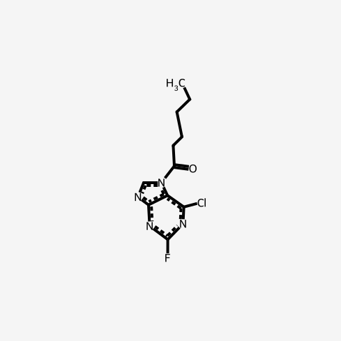 CCCCCC(=O)n1cnc2nc(F)nc(Cl)c21